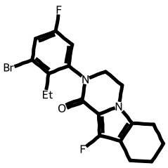 CCc1c(Br)cc(F)cc1N1CCn2c3c(c(F)c2C1=O)CCCC3